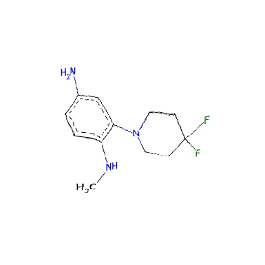 CNc1ccc(N)cc1N1CCC(F)(F)CC1